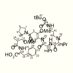 CCC(C)C(C(CC(=O)N1CCC[C@H]1C(OC)C(C)C(=O)NC(Cc1ccccc1)C(=O)O)OC)N(C)C(=O)C(NC(=O)C(C(C)C)N(C)CCCNC(=O)OC(C)(C)C)C(C)C